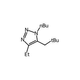 CCCCn1nnc(CC)c1CC(C)(C)C